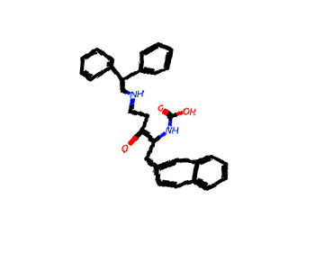 O=C(O)NC(Cc1ccc2ccccc2c1)C(=O)CCNCC(c1ccccc1)c1ccccc1